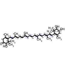 CC1=C(/C=C/C(C)=C/C=C/C(C)=C/C=C/C=C(C)/C=C/C=C(C)/C=C/C2=C(C)C[C@@H](O)C(O)C2(C)C)C(C)(C)C(O)[C@H](O)C1